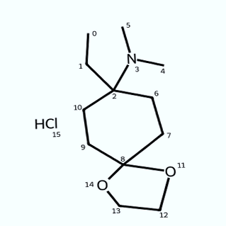 CCC1(N(C)C)CCC2(CC1)OCCO2.Cl